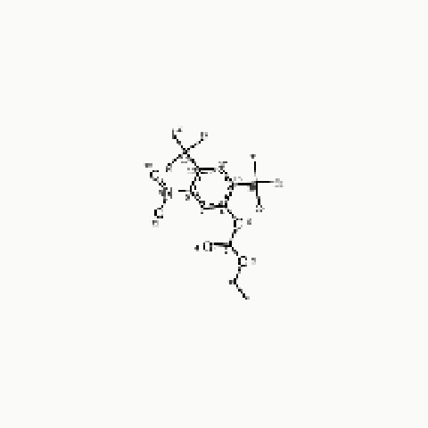 CCOC(=O)Oc1cc([N+](=O)[O-])c(C(C)(C)I)cc1C(C)(C)C